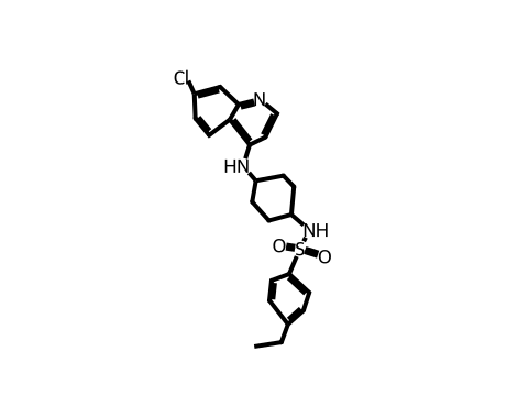 CCc1ccc(S(=O)(=O)NC2CCC(Nc3ccnc4cc(Cl)ccc34)CC2)cc1